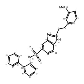 COc1ccnc(CCc2nc3cc(S(=O)(=O)Nc4ccccc4-c4ccccc4)cnc3[nH]2)c1